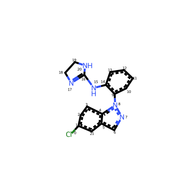 Clc1ccc2c(cnn2-c2ccccc2NC2=NCCN2)c1